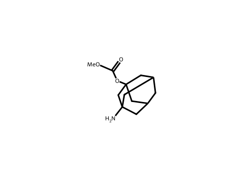 COC(=O)OC12CC3CC(CC(N)(C3)C1)C2